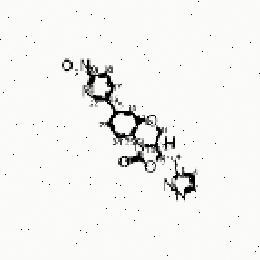 O=C1O[C@@H](Cn2ccnn2)[C@@H]2COc3cc(-c4ccc([N+](=O)[O-])nc4)ccc3N12